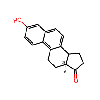 C[C@]12CCc3c(ccc4cc(O)ccc34)C1CCC2=O